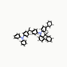 CC(c1ccc(N(c2ccccc2)c2ccccc2)cc1)c1ccc(N(c2ccc(C3CCCCC3)cc2)c2cccc3c2C(C)(C)c2ccccc2-3)cc1